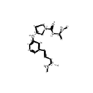 CN[C@@H](C)CC=Cc1cncc(O[C@@H]2CCN(C(=O)OC(C)OC)C2)c1